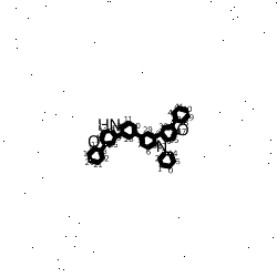 c1ccc(-n2c3ccc(-c4ccc5[nH]c6cc7oc8ccccc8c7cc6c5c4)cc3c3cc4c(cc32)oc2ccccc24)cc1